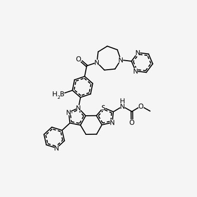 Bc1cc(C(=O)N2CCCN(c3ncccn3)CC2)ccc1-n1nc(-c2cccnc2)c2c1-c1sc(NC(=O)OC)nc1CC2